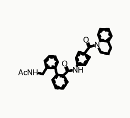 CC(=O)NCc1ccccc1-c1ccccc1C(=O)Nc1ccc(C(=O)N2CCCc3ccccc32)cc1